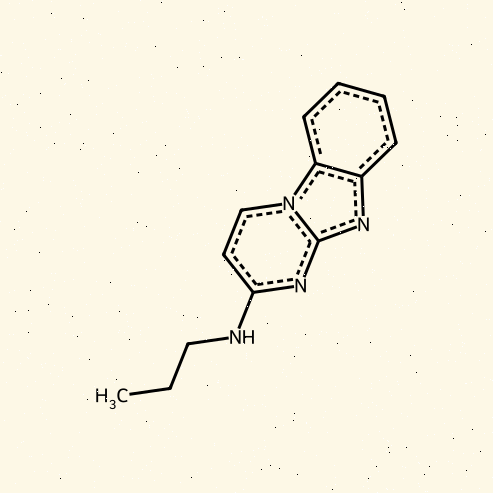 CCCNc1ccn2c(n1)nc1ccccc12